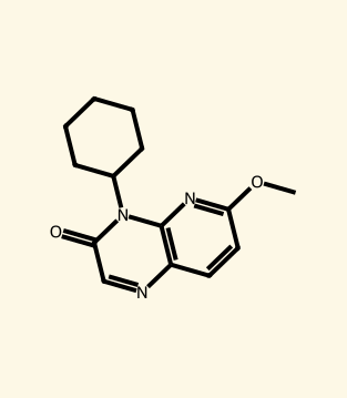 COc1ccc2ncc(=O)n(C3CCCCC3)c2n1